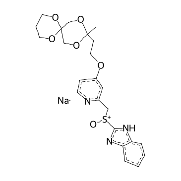 CC1(CCOc2ccnc(C[S+]([O-])c3nc4ccccc4[nH]3)c2)OCC2(CO1)OCCCO2.[Na]